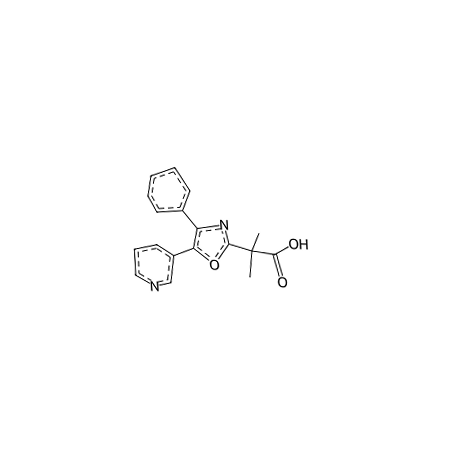 CC(C)(C(=O)O)c1nc(-c2ccccc2)c(-c2cccnc2)o1